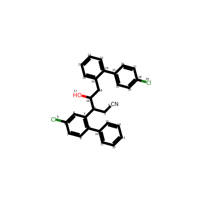 N#CCC(c1cc(Cl)ccc1-c1ccccc1)C(O)Cc1ccccc1-c1ccc(Cl)cc1